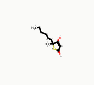 CCCCCCC1(C)SC(=O)C=C1O